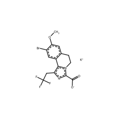 COc1cc2c(cc1Br)-c1c(CC(F)(F)F)nc(C(=O)[O-])n1CC2.[K+]